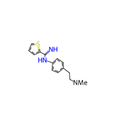 CNCCc1ccc(NC(=N)c2cccs2)cc1